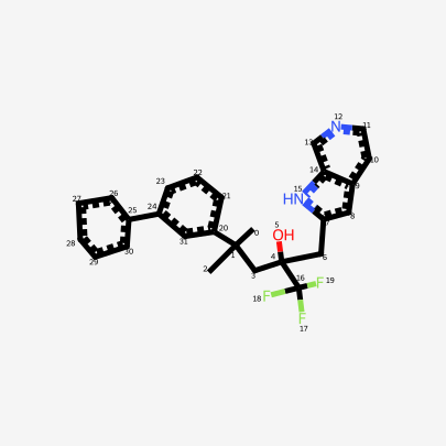 CC(C)(CC(O)(Cc1cc2ccncc2[nH]1)C(F)(F)F)c1cccc(-c2ccccc2)c1